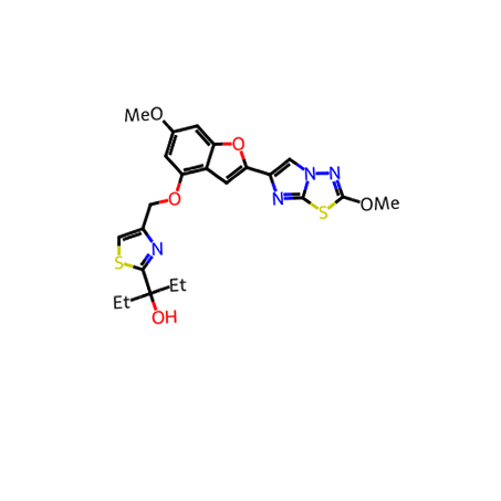 CCC(O)(CC)c1nc(COc2cc(OC)cc3oc(-c4cn5nc(OC)sc5n4)cc23)cs1